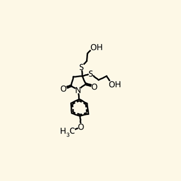 COc1ccc(N2C(=O)CC(SCCO)(SCCO)C2=O)cc1